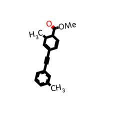 COC(=O)C1C=CC(C#Cc2cccc(C)c2)=CC1C